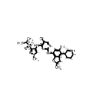 Cc1cc(Nc2ncc(Cl)c(Nc3cn(C)nc3S(=O)(=O)C(C)C)n2)c2c(c1C1CCCNC1)C[C@@H](C)O2